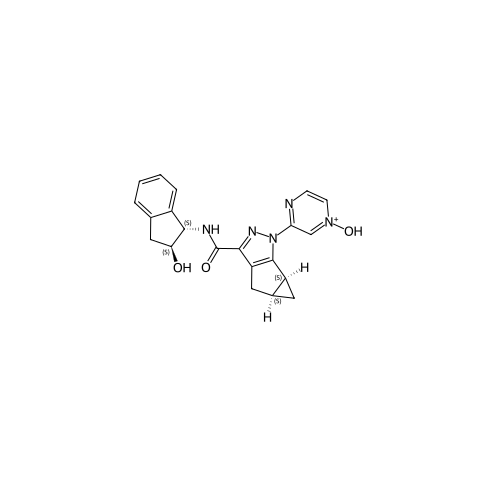 O=C(N[C@H]1c2ccccc2C[C@@H]1O)c1nn(-c2c[n+](O)ccn2)c2c1C[C@@H]1C[C@H]21